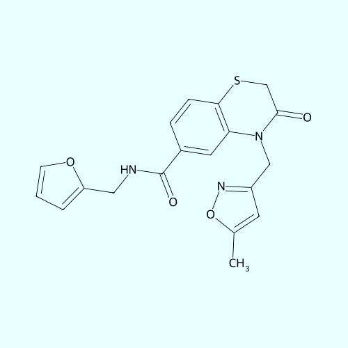 Cc1cc(CN2C(=O)CSc3ccc(C(=O)NCc4ccco4)cc32)no1